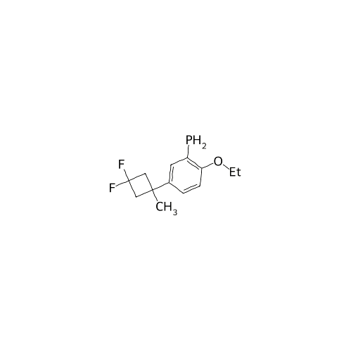 CCOc1ccc(C2(C)CC(F)(F)C2)cc1P